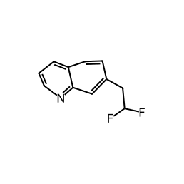 FC(F)Cc1ccc2cccnc2c1